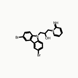 N=c1ccccn1CC(O)Cn1c2ccc(Br)cc2c2cc(Br)ccc21